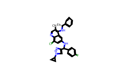 CC[C@@H](Nc1c(C#N)cnc2c(Cl)cc(NC(c3ccc(F)cc3)c3cn(C4CC4)nn3)cc12)c1ccccc1